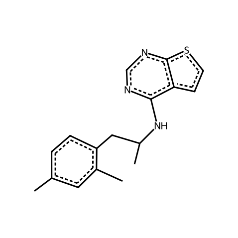 Cc1ccc(CC(C)Nc2ncnc3sccc23)c(C)c1